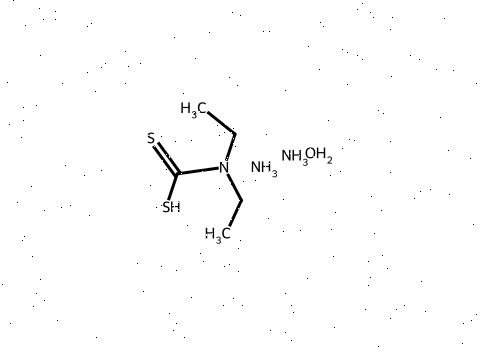 CCN(CC)C(=S)S.N.N.O